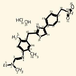 CCN(C)C=Nc1cc(C)c(Cc2nc(-c3ccc(C[SH](=O)=O)cc3)cs2)cc1C.Cl.Cl